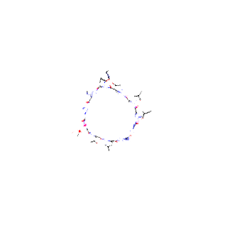 C/C=C/C[C@@H](C)C[C@H]1C(=O)N[C@@H](CC)C(=O)N(C)CC(=O)N(C)[C@@H](CC(C)(C)OC)C(=O)N[C@H](C(C)C)C(=O)N(C)[C@H](CC(C)C)C(=O)N[C@H](C)C(=O)N[C@@H](C)C(=O)N(C)[C@@H](CC(C)C)C(=O)N(C)[C@@H](CC(C)C)C(=O)N(C)[C@@H](C(C)C)C(=O)N1C